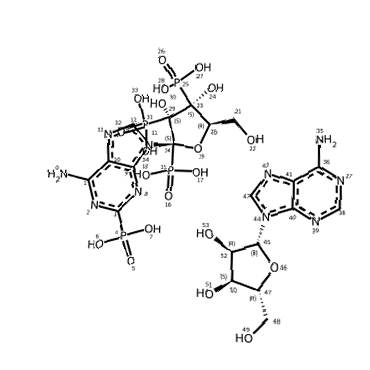 Nc1nc(P(=O)(O)O)nc2c1ncn2[C@]1(P(=O)(O)O)O[C@H](CO)[C@](O)(P(=O)(O)O)[C@]1(O)P(=O)(O)O.Nc1ncnc2c1ncn2[C@@H]1O[C@H](CO)[C@@H](O)[C@H]1O